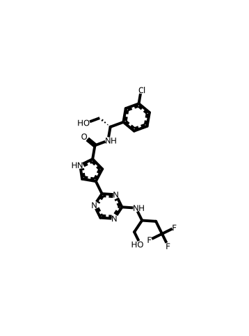 O=C(N[C@H](CO)c1cccc(Cl)c1)c1cc(-c2ncnc(NC(CO)CC(F)(F)F)n2)c[nH]1